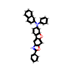 c1ccc(-c2nc3cc4c(cc3o2)oc2cc(N(c3ccccc3)c3ccc5ccccc5c3)ccc24)cc1